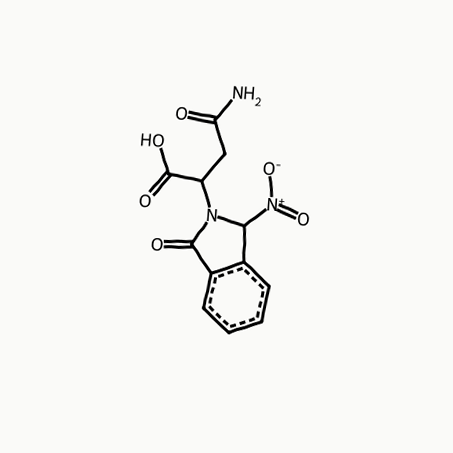 NC(=O)CC(C(=O)O)N1C(=O)c2ccccc2C1[N+](=O)[O-]